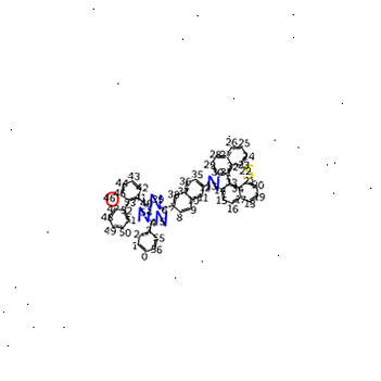 c1ccc(-c2nc(-c3ccc4cc(-n5c6ccc7cccc8sc9cccc%10ccc5c(c%109)c6c78)ccc4c3)nc(-c3cccc4oc5ccccc5c34)n2)cc1